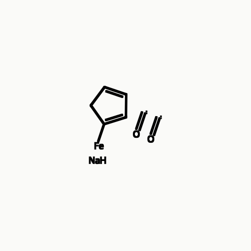 [C]=O.[C]=O.[Fe][C]1=CC=CC1.[NaH]